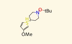 COC1=C[SH]([C]2CCN(OC(C)(C)C)CC2)C=C1